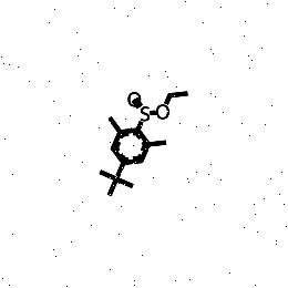 CCOS(=O)c1c(C)cc(C(C)(C)C)cc1C